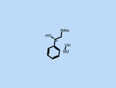 CNC[C@H](O)c1ccccc1.O=NO